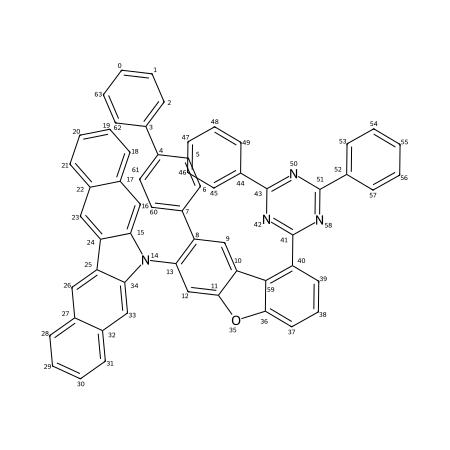 c1ccc(-c2ccc(-c3cc4c(cc3-n3c5cc6ccccc6cc5c5cc6ccccc6cc53)oc3cccc(-c5nc(-c6ccccc6)nc(-c6ccccc6)n5)c34)cc2)cc1